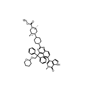 C[C@@H]1CN(C2CCN(c3nc(C(COC4CCCCO4)(c4ccccc4)c4ccccc4)c4cc(-c5cn(C)c(=O)c6[nH]ccc56)ccc4n3)CC2)[C@@H](C)CN1C(=O)OC(C)(C)C